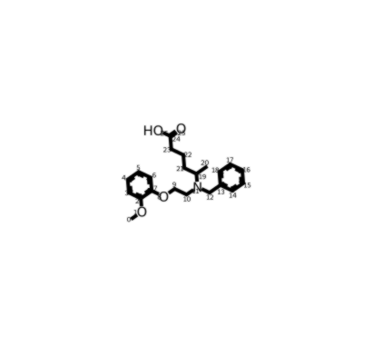 COc1ccccc1OCCN(Cc1ccccc1)C(C)CCCC(=O)O